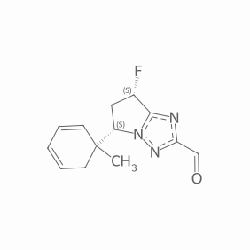 CC1([C@@H]2C[C@H](F)c3nc(C=O)nn32)C=CC=CC1